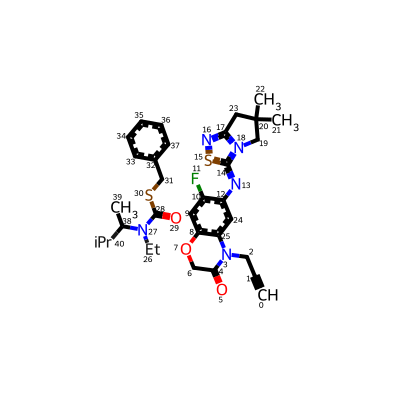 C#CCN1C(=O)COc2cc(F)c(/N=c3\snc4n3CC(C)(C)C4)cc21.CCN(C(=O)SCc1ccccc1)C(C)C(C)C